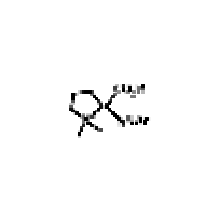 CC(=O)NCC(=O)O.C[N+]1(C)CCCC1